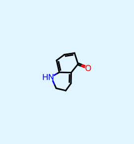 O=C1C=CC=C2NCCC=C12